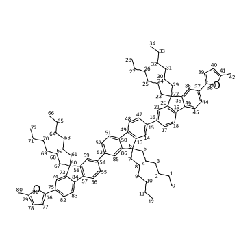 CCCCCCC1(CCCCCC)c2cc(-c3ccc4c(c3)C(CCCCCC)(CCCCCC)c3cc(-c5ccc(C)o5)ccc3-4)ccc2-c2ccc(-c3ccc4c(c3)C(CCCCCC)(CCCCCC)c3cc(-c5ccc(C)o5)ccc3-4)cc21